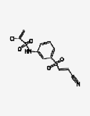 C=C(Cl)S(=O)(=O)Nc1cccc(S(=O)(=O)C=CC#N)c1